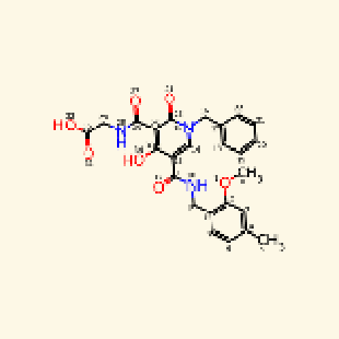 COc1cc(C)ccc1CNC(=O)c1cn(Cc2ccccc2)c(=O)c(C(=O)NCC(=O)O)c1O